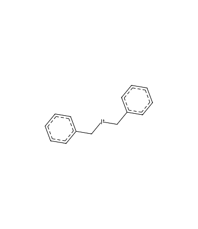 c1ccc(C[I+]Cc2ccccc2)cc1